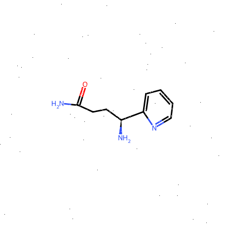 NC(=O)CC[C@H](N)c1ccccn1